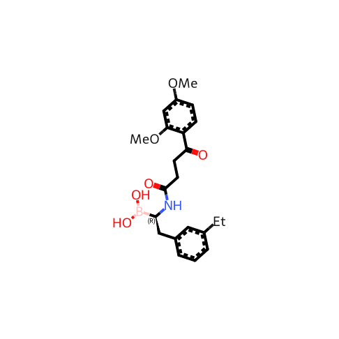 CCc1cccc(C[C@H](NC(=O)CCC(=O)c2ccc(OC)cc2OC)B(O)O)c1